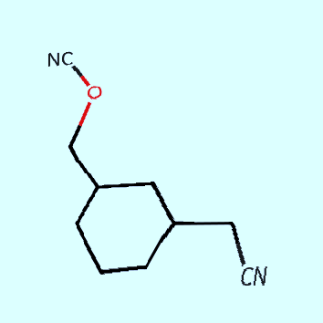 N#CCC1CCCC(COC#N)C1